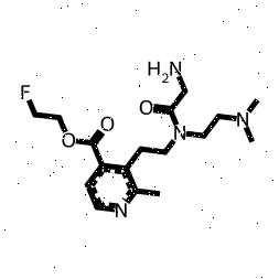 Cc1nccc(C(=O)OCCF)c1CCN(CCN(C)C)C(=O)CN